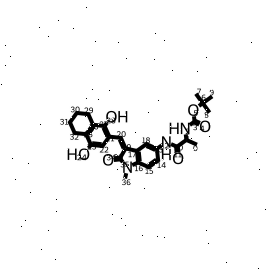 CC(NC(=O)OC(C)(C)C)C(=O)Nc1ccc2c(c1)/C(=C/c1cc(O)c3c(c1O)CCCC3)C(=O)N2C